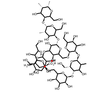 CC1C(O)[C@H](O[C@@H]2OC(CO[C@]3(C(=O)O)C[C@@H](O)[C@@H](N)C(C(O)[C@H](O)CO)O3)[C@H](O)C(O)[C@@H]2O)[C@H](CO)O[C@H]1O[C@@H]1C(O)[C@H](O)C(CO)O[C@@H]1OCC1O[C@@H](O[C@@H]2C(CO)O[C@@H](O[C@@H]3C(CO)O[C@@H](C)[C@@H](C)C3O)[C@@H](C)C2O)[C@H](O)C(OC2O[C@H](CO)[C@@H](O)C(O)C2O)[C@@H]1O